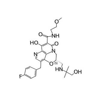 COCCNC(=O)c1c(O)c2ncc(Cc3ccc(F)cc3)c3c2n(c1=O)C[C@H](CNC(C)(C)CO)O3